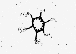 Bc1c(B)c(B)c(O)c(C)c1B